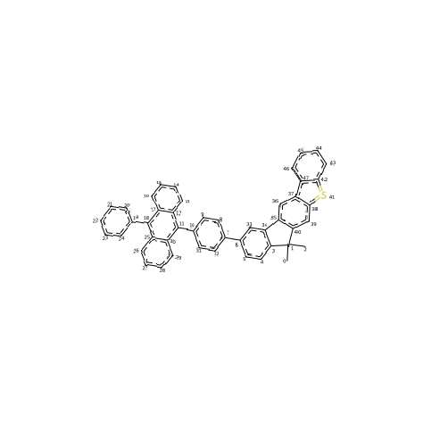 CC1(C)c2ccc(-c3ccc(-c4c5ccccc5c(-c5ccccc5)c5ccccc45)cc3)cc2-c2cc3c(cc21)sc1ccccc13